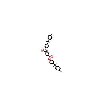 Cc1ccc(C(C)(C)c2ccc(OC(=O)c3cc[c]([Co](=[O])[c]4ccc(C(C)(C)c5ccc(C)cc5)cc4)cc3)cc2)cc1